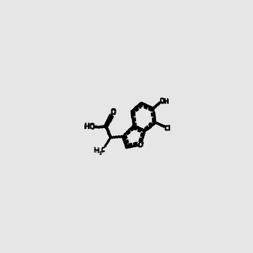 CC(C(=O)O)c1coc2c(Cl)c(O)ccc12